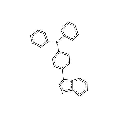 c1ccc(N(c2ccccc2)c2ccc(-c3csc4ccccc34)cc2)cc1